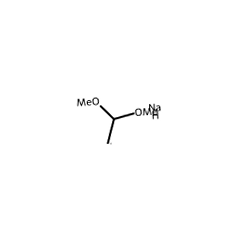 [CH2]C(OC)OC.[NaH]